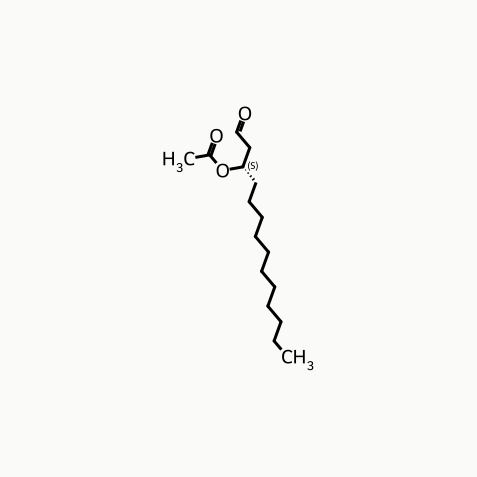 CCCCCCCCCCC[C@@H](CC=O)OC(C)=O